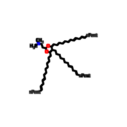 CCCCCC=CCC=CCCCCCCCCC1OC(CCN(C)C)OC(CCCCCCCC=CCC=CCCCCC)C1CCCCCCCC=CCC=CCCCCC